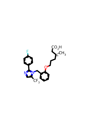 C[C@H](CCCOc1ccccc1Cn1c(C(F)(F)F)cnc1-c1ccc(F)cc1)CC(=O)O